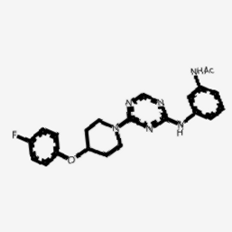 CC(=O)Nc1cccc(Nc2ncnc(N3CCC(Oc4ccc(F)cc4)CC3)n2)c1